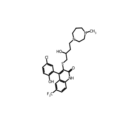 CN1CCCN(CCC(O)CSc2c(-c3cc(Cl)ccc3O)c3cc(C(F)(F)F)ccc3[nH]c2=O)CC1